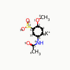 COc1ccc(NC(C)=O)cc1S(=O)[O-].[K+]